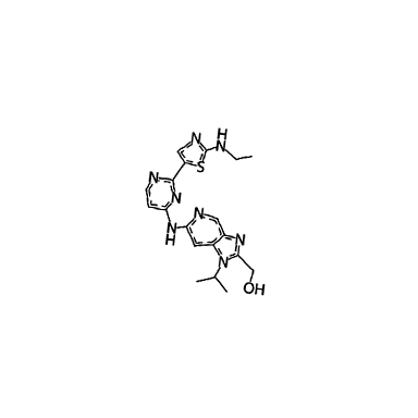 CCNc1ncc(-c2nccc(Nc3cc4c(cn3)nc(CO)n4C(C)C)n2)s1